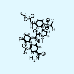 CCOC(=O)Nc1ccc(S(=O)(=O)C(C)C)c([C@H]2CCCN2C(=O)[C@H](Nc2cccc(C(N)=O)c2)c2ccc(F)c(OCC)c2)c1